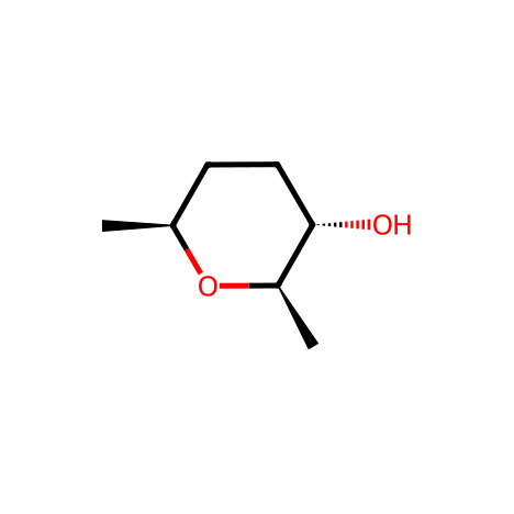 C[C@H]1CC[C@H](O)[C@@H](C)O1